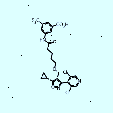 O=C(CCCCOCc1c(-c2c(Cl)cncc2Cl)noc1C1CC1)Nc1cc(C(=O)O)cc(C(F)(F)F)c1